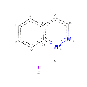 C[n+]1nccc2ccccc21.[I-]